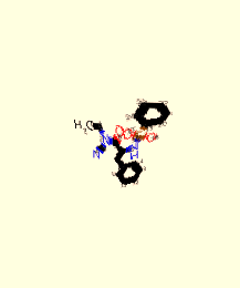 CCN(C#N)C(=O)C(Cc1ccccc1)NS(=O)(=O)c1ccccc1